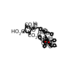 O=C(O)CN1CCN(CC(=O)O)CCN(CC(=O)NCCc2ccc(C(=O)N[C@H](CCC(=O)N[C@@H](CCOP(=O)(N[C@@H](CCC(=O)OCc3ccccc3)C(=O)OCc3ccccc3)OCc3ccccc3)C(=O)OCc3ccccc3)C(=O)OCc3ccccc3)cc2)CCN(CC(=O)O)CC1